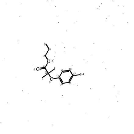 CCCOC(=O)C(C)(C)Oc1ccc(I)cc1